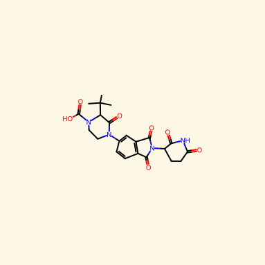 CC(C)(C)C1C(=O)N(c2ccc3c(c2)C(=O)N(C2CCC(=O)NC2=O)C3=O)CCN1C(=O)O